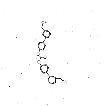 O=C(Oc1ccc(-c2cccc(CO)c2)cc1)Oc1ccc(-c2cccc(CO)c2)cc1